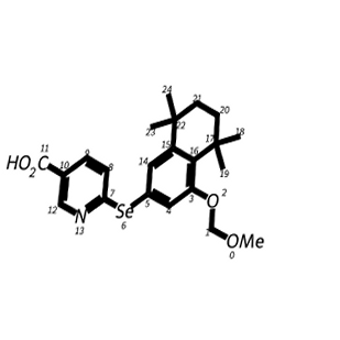 COCOc1cc([Se]c2ccc(C(=O)O)cn2)cc2c1C(C)(C)CCC2(C)C